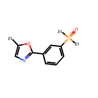 CCc1cnc(-c2cccc(P(=O)(CC)CC)c2)o1